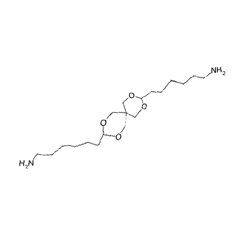 NCCCCCCC1OCC2(CO1)COC(CCCCCCN)OC2